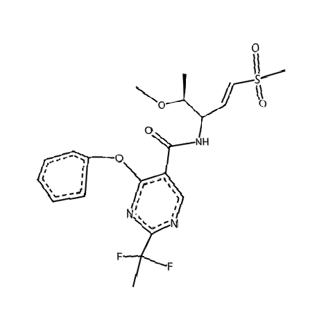 CO[C@@H](C)C(/C=C/S(C)(=O)=O)NC(=O)c1cnc(C(C)(F)F)nc1Oc1ccccc1